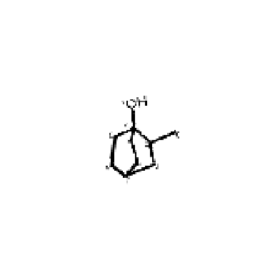 CC1CC2CCC1(O)CC2